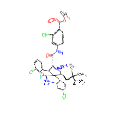 COC(=O)c1ccc(NC(=O)[C@@H]2N[C@@H](CC(C)(C)C)C3(C(=O)Nc4cc(Cl)ccc43)[C@H]2c2cccc(Cl)c2F)cc1Cl